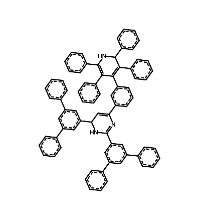 C1=C(c2cccc(C3=C(c4ccccc4)C(c4ccccc4)NC(c4ccccc4)=C3c3ccccc3)c2)N=C(c2cc(-c3ccccc3)cc(-c3ccccc3)c2)NC1c1cc(-c2ccccc2)cc(-c2ccccc2)c1